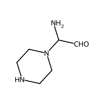 NC(C=O)N1CCNCC1